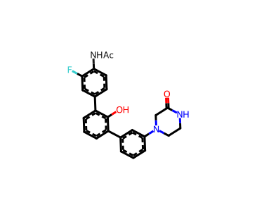 CC(=O)Nc1ccc(-c2cccc(-c3cccc(N4CCNC(=O)C4)c3)c2O)cc1F